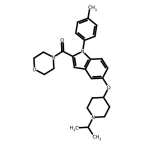 Cc1ccc(-n2c(C(=O)N3CCOCC3)cc3cc(OC4CCN(C(C)C)CC4)ccc32)cc1